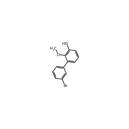 COc1c(O)cccc1-c1cccc(Br)c1